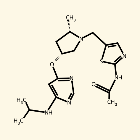 CC(=O)Nc1ncc(CN2C[C@H](Oc3cc(NC(C)C)ncn3)C[C@@H]2C)s1